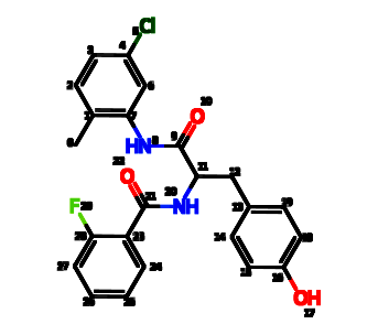 Cc1ccc(Cl)cc1NC(=O)C(Cc1ccc(O)cc1)NC(=O)c1ccccc1F